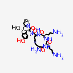 CC(C)C[C@@H](C(=O)O)N(C)C(=O)[C@H](Cc1ccc(O)cc1)N(C)C(=O)[C@@H]1C/C=C/C[C@H](N)C(=O)N[C@@H](CCCCN)C(=O)N[C@@H](CCCCN)C(=O)N1